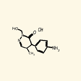 CC1C=NN(CO)C(=O)C1c1ccc(N)cc1.Cl